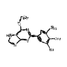 CCCOc1nc(-c2cc(C(C)(C)C)c(O)c(C(C)(C)C)c2)nc2nc[nH]c12